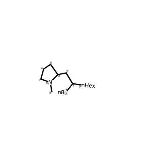 CCCCCCC(CCCC)CC1CCCN1C